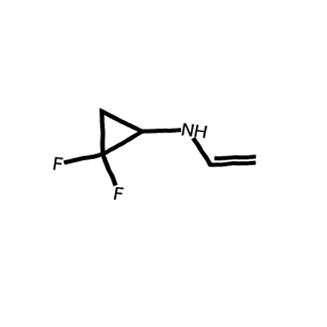 C=CNC1CC1(F)F